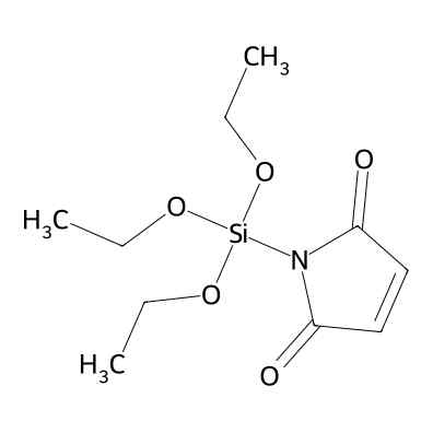 CCO[Si](OCC)(OCC)N1C(=O)C=CC1=O